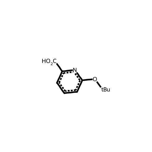 CC(C)(C)Oc1cccc(C(=O)O)n1